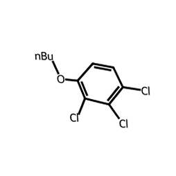 CCCCOc1ccc(Cl)c(Cl)c1Cl